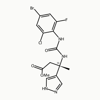 COC(=O)C[C@](C)(NC(=O)Nc1c(F)cc(Br)cc1Cl)c1cn[nH]c1